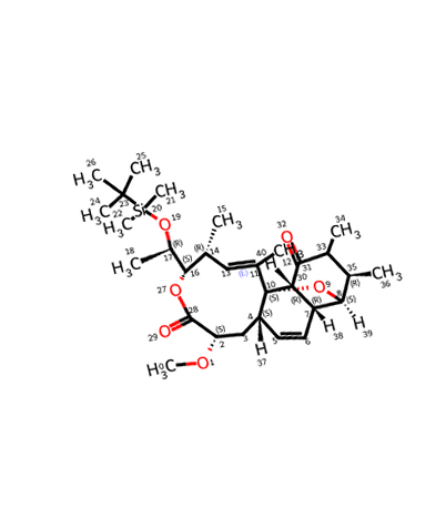 CO[C@H]1C[C@H]2C=C[C@H]3[C@H]4O[C@]2(/C(C)=C/[C@@H](C)[C@@H]([C@@H](C)O[Si](C)(C)C(C)(C)C)OC1=O)[C@@H]3C(=O)C(C)[C@H]4C